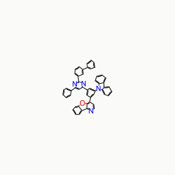 c1ccc(-c2cccc(-c3nc(-c4ccccc4)cc(-c4cc(-c5ccnc6c5oc5ccccc56)cc(-n5c6ccccc6c6ccccc65)c4)n3)c2)cc1